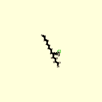 C=CC=CCCCCC[CH](CCCCC)[Mg][Cl]